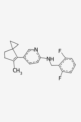 CC1=C(c2ccc(NCc3c(F)cccc3F)nc2)C2(CC1)CC2